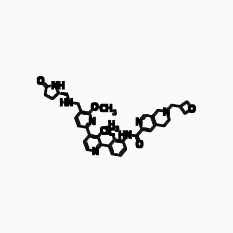 COc1nc(-c2ccnc(-c3cccc(NC(=O)c4cc5c(cn4)CN(CC4COC4)CC5)c3C)c2Cl)ccc1CNC[C@H]1CCC(=O)N1